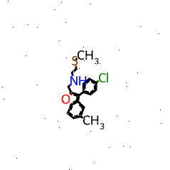 CSCCNCc1oc2ccc(C)cc2c1-c1ccc(Cl)cc1